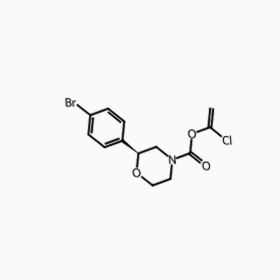 C=C(Cl)OC(=O)N1CCO[C@@H](c2ccc(Br)cc2)C1